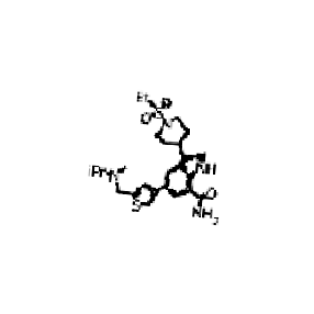 CCS(=O)(=O)N1CCC(c2c[nH]c3c(C(N)=O)cc(-c4csc(CN(C)C(C)C)c4)cc23)CC1